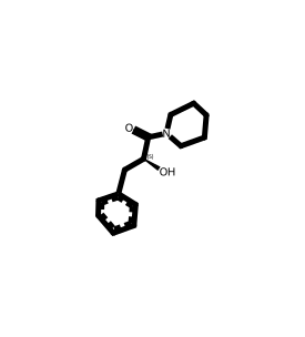 O=C([C@@H](O)Cc1ccccc1)N1CCCCC1